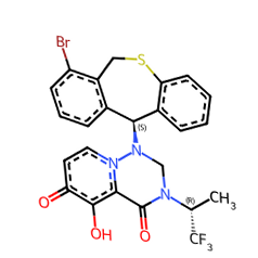 C[C@@H](N1CN([C@@H]2c3ccccc3SCc3c(Br)cccc32)n2ccc(=O)c(O)c2C1=O)C(F)(F)F